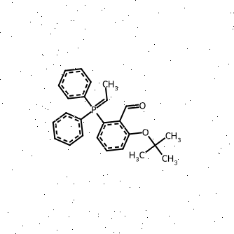 CC=P(c1ccccc1)(c1ccccc1)c1cccc(OC(C)(C)C)c1C=O